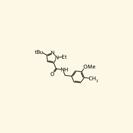 CCn1nc(C(C)(C)C)cc1C(=O)NCc1ccc(C)c(OC)c1